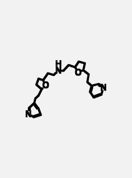 c1cncc(CCC2CCC(CCNCCC3CCC(CCc4cccnc4)O3)O2)c1